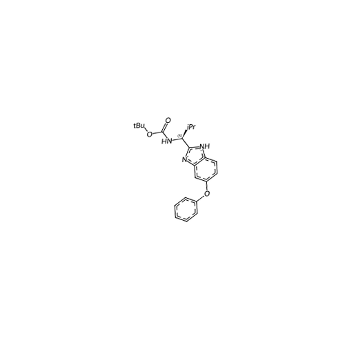 CC(C)[C@H](NC(=O)OC(C)(C)C)c1nc2cc(Oc3ccccc3)ccc2[nH]1